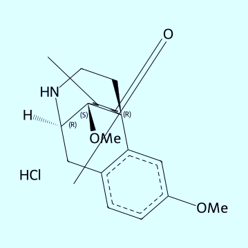 COc1ccc2c(c1)[C@]13CCN[C@H](C2)[C@]1(OC)C(C)CC(=O)C3.Cl